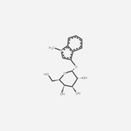 Cn1cc(O[C@H]2O[C@H](CO)[C@H](O)[C@H](O)[C@H]2O)c2ccccc21